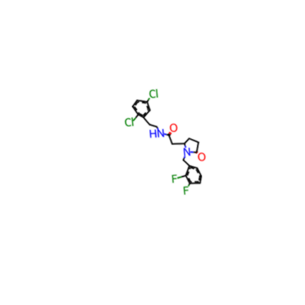 O=C(CC1CCC(=O)N1Cc1cccc(F)c1F)NCCc1cc(Cl)ccc1Cl